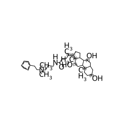 C[C@H](CCC(=O)NCCC[N+](C)(C)CCc1ccccc1)[C@H]1CCC2C3C(C[C@H](O)[C@@]21C)[C@@]1(C)CC[C@@H](O)CC1C[C@H]3O